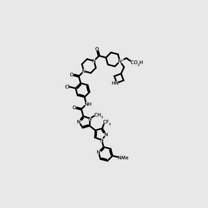 CNc1ccnc(-n2cc(-c3cnc(C(=O)Nc4ccc(C(=O)N5CCN(C(=O)C6CC[N+](CC(=O)O)(CC7CNC7)CC6)CC5)c(Cl)c4)n3C)c(C(F)(F)F)n2)c1